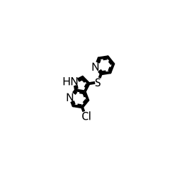 Clc1cnc2[nH]cc(Sc3ccccn3)c2c1